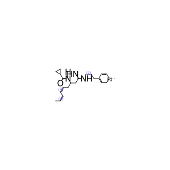 C/C=C\C=C/CC(CC(=N)N/C=C\CC1=CC[C@@H](C)C=C1)NC(=O)C1CC1